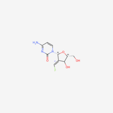 Nc1ccn([C@@H]2O[C@H](CO)C(O)/C2=C\F)c(=O)n1